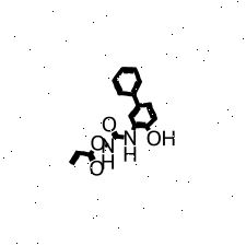 C=CC(=O)ONC(=O)Nc1cc(-c2ccccc2)ccc1O